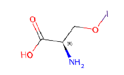 N[C@H](COI)C(=O)O